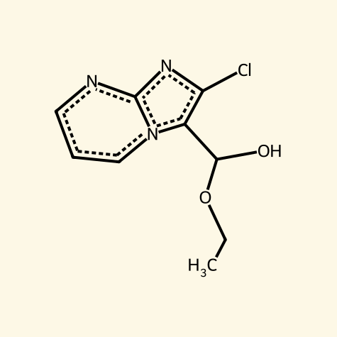 CCOC(O)c1c(Cl)nc2ncccn12